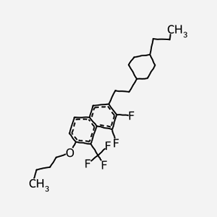 CCCCOc1ccc2cc(CCC3CCC(CCC)CC3)c(F)c(F)c2c1C(F)(F)F